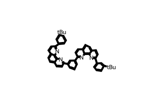 CC(C)(C)c1cccc(-c2ccc3ccc4ccc(-c5cccc(-c6ccc7ccc8ccc(-c9cccc(C(C)(C)C)c9)nc8c7n6)c5)nc4c3n2)c1